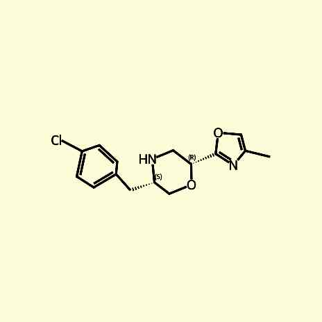 Cc1coc([C@H]2CN[C@@H](Cc3ccc(Cl)cc3)CO2)n1